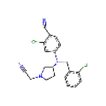 N#CCN1CC[C@H](N(Cc2ccccc2Cl)c2ccc(C#N)c(Cl)c2)C1